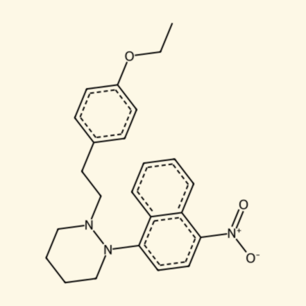 CCOc1ccc(CCN2CCCCN2c2ccc([N+](=O)[O-])c3ccccc23)cc1